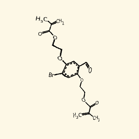 C=C(C)C(=O)OCCOc1cc(C=O)c(OCCOC(=O)C(=C)C)cc1Br